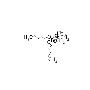 CCCCCOP(=O)(OCCCCC)O[Si](C)(C)C